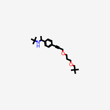 CC(NC(C)(C)C)c1ccc(C#CCOCCCOCC(C)(C)C)cc1